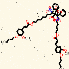 CCCCCOc1ccc(C=CC(=O)OCCCCCCCCc2ccccc2C(CCCCCCCCOC(=O)C=Cc2ccc(OCCCCC)c(OC)c2)([N+](=O)[O-])C(C(=O)O)(C(=O)O)C(c2ccccc2)[N+](=O)[O-])cc1OC